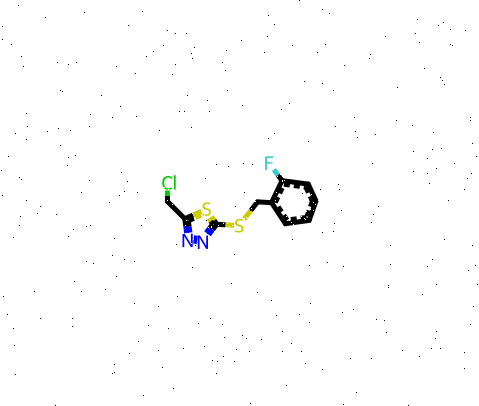 Fc1ccccc1CSc1nnc(CCl)s1